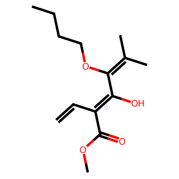 C=C/C(C(=O)OC)=C(/O)C(OCCCC)=C(C)C